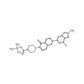 Cc1cn2cc(-c3ccc4c(=O)n(C5CCN(C(=O)OC(C)(C)C)CC5)ncc4c3)cc(F)c2n1